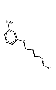 CCC=CCCCOc1cccc(NC)c1